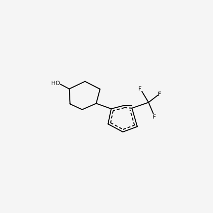 OC1CCC(c2cccc(C(F)(F)F)c2)CC1